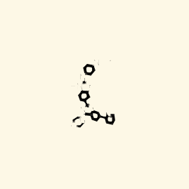 CC(=O)Nc1ccc(NC(=O)Nc2ccc(-c3nc(N4CCOCC4)c4ccc(-c5ccccn5)cc4n3)cc2F)cc1